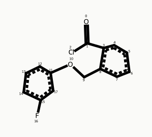 O=C(Cl)c1ccccc1COc1cccc(F)c1